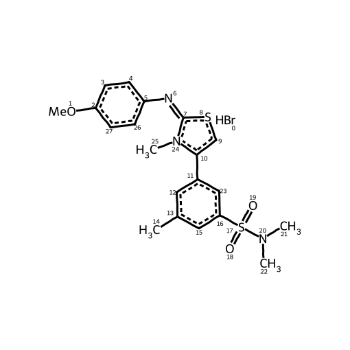 Br.COc1ccc(N=c2scc(-c3cc(C)cc(S(=O)(=O)N(C)C)c3)n2C)cc1